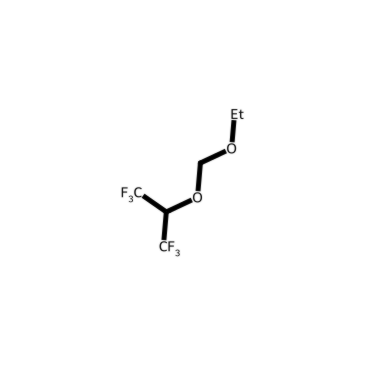 CCOCO[C](C(F)(F)F)C(F)(F)F